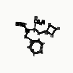 O=CN(Cc1ccccc1)C(CC1CCC1)C(=O)O